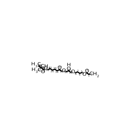 C=CC(=O)OCCCCOCC(O)COCC(=O)CCCCCOC(=O)C(C)(C)CC